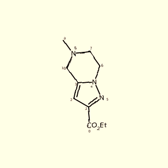 CCOC(=O)c1cc2n(n1)CCN(C)C2